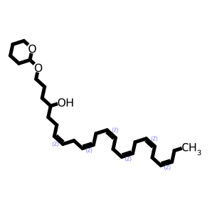 CC/C=C\C/C=C\C/C=C\C/C=C\C/C=C\C/C=C\CCC(O)CCCOC1CCCCO1